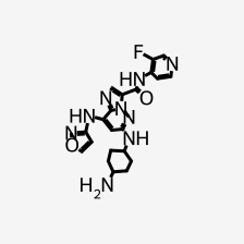 NC1CCC(Nc2cc(Nc3ccon3)c3ncc(C(=O)Nc4ccncc4F)n3n2)CC1